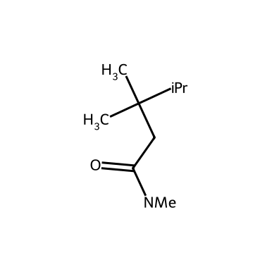 CNC(=O)CC(C)(C)C(C)C